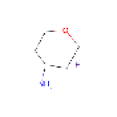 I.NC1CCOCC1